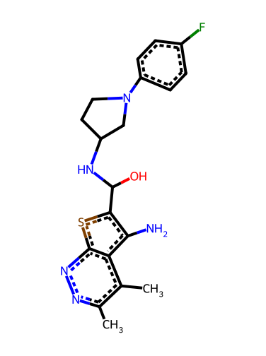 Cc1nnc2sc(C(O)NC3CCN(c4ccc(F)cc4)C3)c(N)c2c1C